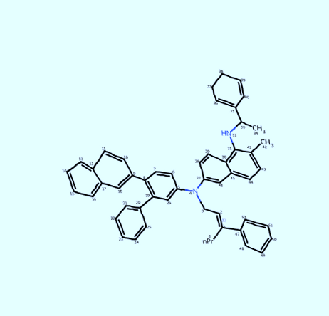 CCC/C(=C\CN(c1ccc(-c2ccc3ccccc3c2)c(-c2ccccc2)c1)c1ccc2c(NC(C)C3=CCCC=C3)c(C)ccc2c1)c1ccccc1